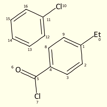 CCc1ccc(C(=O)Cl)cc1.Clc1ccccc1